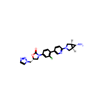 N[C@@H]1[C@H]2CN(c3ccc(-c4ccc(N5C[C@H](Cn6ccnn6)OC5=O)cc4F)cn3)C[C@@H]12